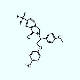 COc1ccc(OCC(c2ccc(OC)cc2)N2Cc3ccc(C(F)(F)F)cc3C2=O)cc1